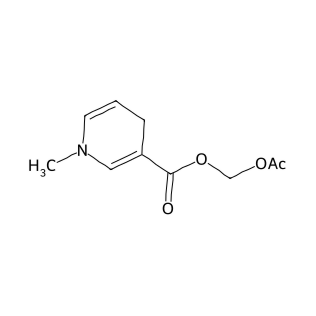 CC(=O)OCOC(=O)C1=CN(C)C=CC1